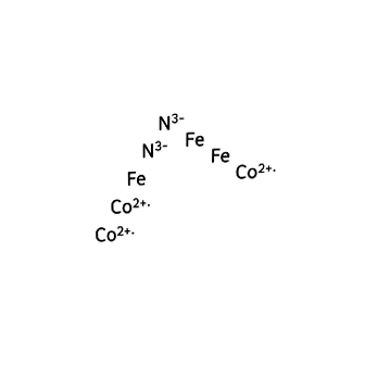 [Co+2].[Co+2].[Co+2].[Fe].[Fe].[Fe].[N-3].[N-3]